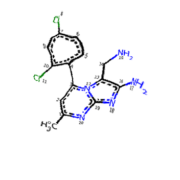 Cc1cc(-c2ccc(Cl)cc2Cl)n2c(CN)c(N)nc2n1